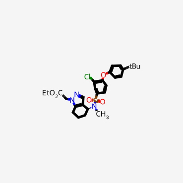 CCOC(=O)Cn1ncc2c1CCC[C@H]2N(C)S(=O)(=O)c1ccc(Oc2ccc(C(C)(C)C)cc2)c(Cl)c1